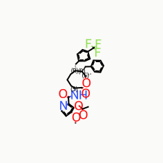 COc1ccnc(C(=O)N[C@H]2CCC[C@H](Cc3ccc(C(F)(F)F)cc3)[C@@H](Cc3ccccc3)[C@H](C)OC2=O)c1OC(C)=O